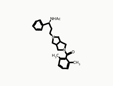 CC(=O)N[C@@H](CCN1CC2CN(C(=O)c3c(C)cccc3C)CC2C1)c1ccccc1